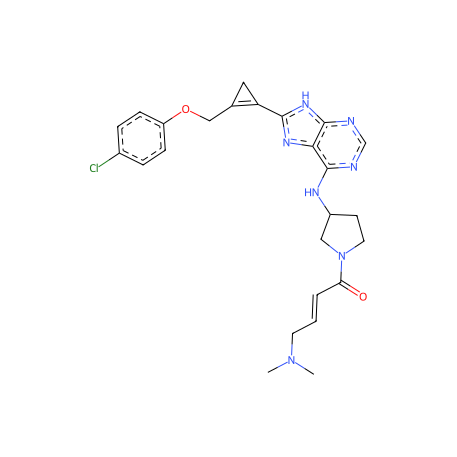 CN(C)C/C=C/C(=O)N1CCC(Nc2ncnc3[nH]c(C4=C(COc5ccc(Cl)cc5)C4)nc23)C1